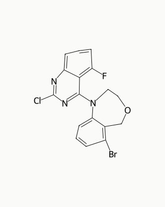 Fc1cccc2nc(Cl)nc(N3CCOCc4c(Br)cccc43)c12